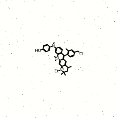 CC[N+]1=c2cc3c(cc2C(C)CC1(C)C)=C(c1ccc(CCl)cc1C)c1ccc(N(C)c2ccc(O)cc2)cc1[Si]3(C)C